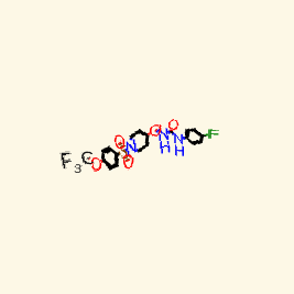 O=C(NOC1CCN(S(=O)(=O)c2ccc(OC(F)(F)F)cc2)CC1)Nc1ccc(F)cc1